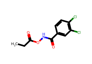 CCC(=O)ONC(=O)c1ccc(Cl)c(Cl)c1